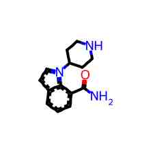 NC(=O)c1cccc2ccn(C3CCNCC3)c12